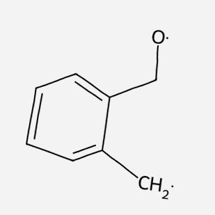 [CH2]c1ccccc1C[O]